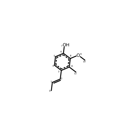 CC=Cc1ccc(O)c(OC)c1C